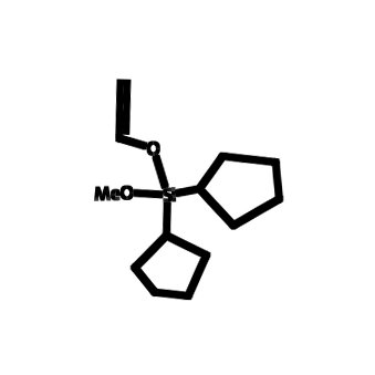 C=CO[Si](OC)(C1CCCC1)C1CCCC1